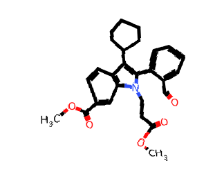 COC(=O)CCn1c(-c2ccccc2C=O)c(C2CCCCC2)c2ccc(C(=O)OC)cc21